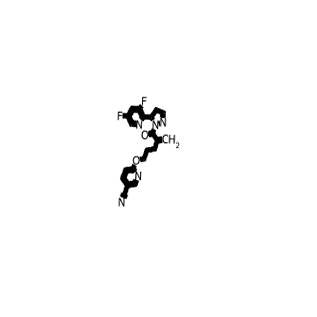 C=C(CCCOc1ccc(C#N)cn1)C(=O)N1N=CCC1c1ncc(F)cc1F